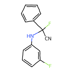 N#CC(F)(Nc1cccc(F)c1)c1ccccc1